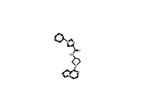 O=C(NC1CCN(c2nccn3cccc23)C1)c1cn(-c2ccccc2)cn1